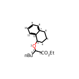 CCCCC(OC1CCCc2ccccc21)C(=O)OCC